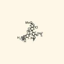 CO[n+]1cc(Cl)c(C[C@H](OC(=O)Sc2ccc(NS(C)(=O)=O)cc2)c2ccc(OC(F)F)c(OCC3CC3)c2)c(Cl)c1